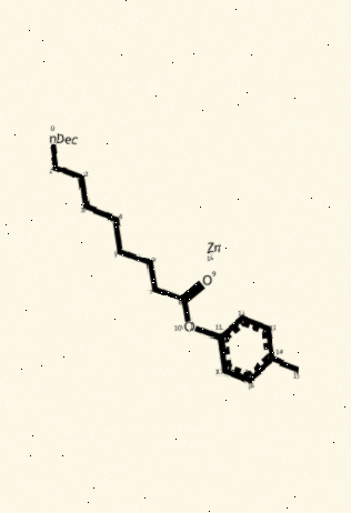 CCCCCCCCCCCCCCCCCC(=O)Oc1ccc(C)cc1.[Zn]